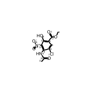 COC(=O)c1cc(Cl)c(NC(C)=O)c([N+](=O)[O-])c1O